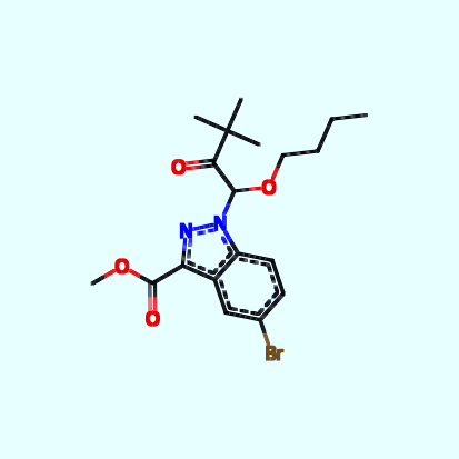 CCCCOC(C(=O)C(C)(C)C)n1nc(C(=O)OC)c2cc(Br)ccc21